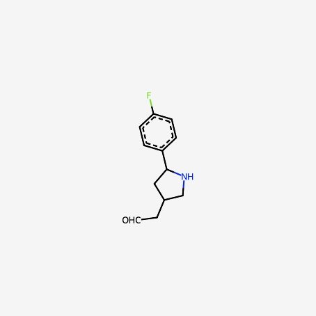 O=CCC1CNC(c2ccc(F)cc2)C1